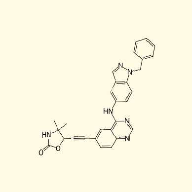 CC1(C)NC(=O)OC1C#Cc1ccc2ncnc(Nc3ccc4c(cnn4Cc4ccccc4)c3)c2c1